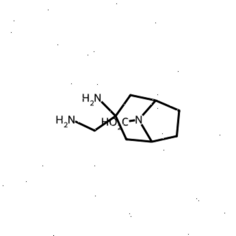 NCC1(N)CC2CCC(C1)N2C(=O)O